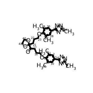 Cc1cc(-c2nnn(C)n2)cc(C)c1OCCCC(=O)C1(CCCOc2c(C)cc(-c3nnn(C)n3)cc2C)OCCO1